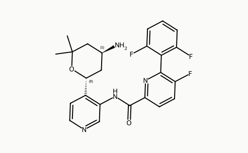 CC1(C)C[C@@H](N)C[C@H](c2ccncc2NC(=O)c2ccc(F)c(-c3c(F)cccc3F)n2)O1